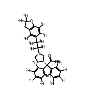 [2H]c1c([2H])c([2H])c(C(C(N)=O)(c2c([2H])c([2H])c([2H])c([2H])c2[2H])[C@@H]2CCN(C([2H])([2H])C([2H])([2H])c3c([2H])c([2H])c4c(c3[2H])CC([2H])([2H])O4)C2)c([2H])c1[2H]